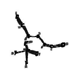 O=C=NSN=C=O.O=P(F)(F)F